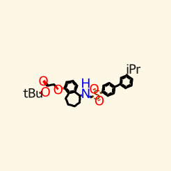 CC(C)c1cccc(-c2ccc(S(=O)(=O)CNC3CCCCc4c(OCC(=O)OC(C)(C)C)cccc43)cc2)c1